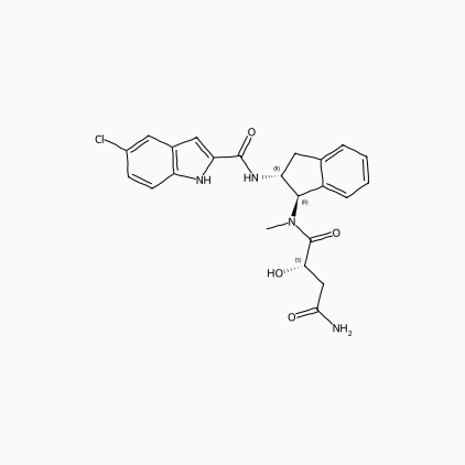 CN(C(=O)[C@@H](O)CC(N)=O)[C@@H]1c2ccccc2C[C@H]1NC(=O)c1cc2cc(Cl)ccc2[nH]1